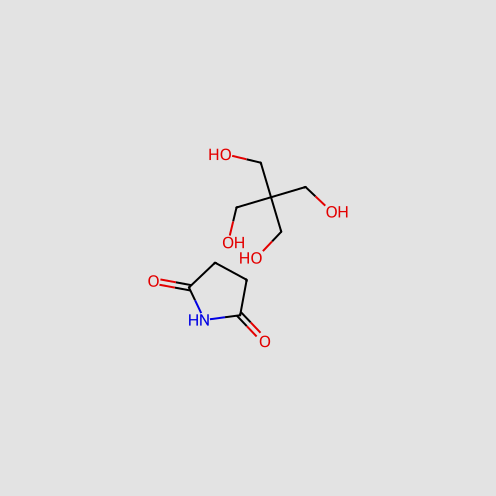 O=C1CCC(=O)N1.OCC(CO)(CO)CO